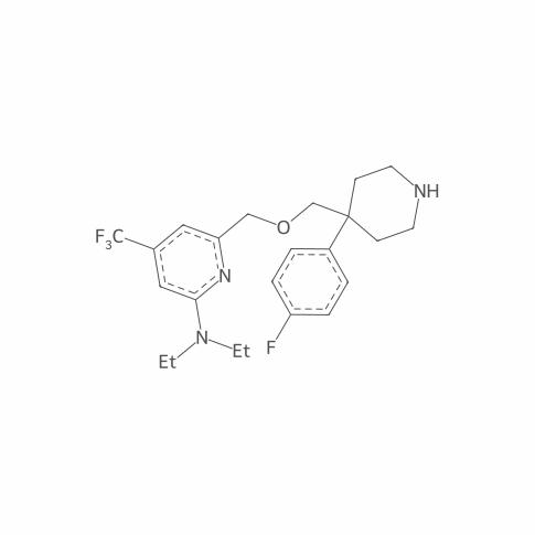 CCN(CC)c1cc(C(F)(F)F)cc(COCC2(c3ccc(F)cc3)CCNCC2)n1